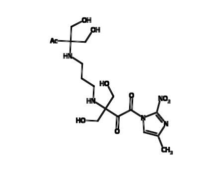 CC(=O)C(CO)(CO)NCCCNC(CO)(CO)C(=O)C(=O)n1cc(C)nc1[N+](=O)[O-]